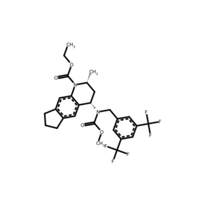 CCOC(=O)N1c2cc3c(cc2[C@@H](N(Cc2cc(C(F)(F)F)cc(C(F)(F)F)c2)C(=O)OC)C[C@H]1C)CCC3